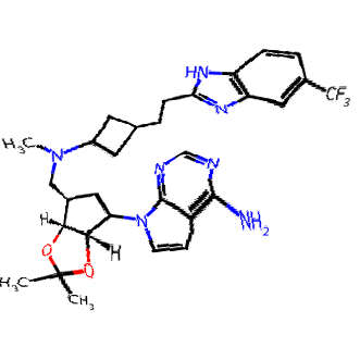 CN(C[C@H]1CC(n2ccc3c(N)ncnc32)[C@@H]2OC(C)(C)O[C@H]12)C1CC(CCc2nc3cc(C(F)(F)F)ccc3[nH]2)C1